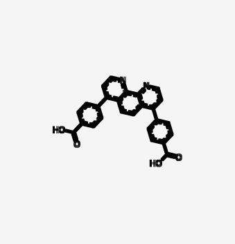 O=C(O)c1ccc(-c2ccnc3c2ccc2c(-c4ccc(C(=O)O)cc4)ccnc23)cc1